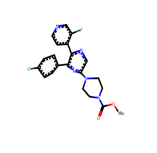 CC(C)(C)OC(=O)N1CCN(c2cnc(-c3ccncc3F)c(-c3ccc(Cl)cc3)n2)CC1